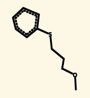 COCCCSc1ccccc1